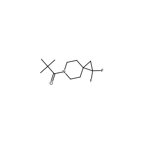 CC(C)(C)C(=O)N1CCC2(CC1)CC2(F)F